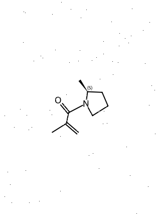 C=C(C)C(=O)N1CCC[C@@H]1C